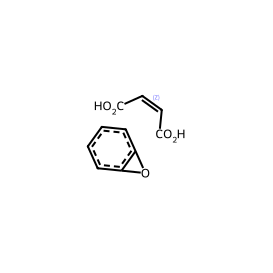 O=C(O)/C=C\C(=O)O.c1ccc2c(c1)O2